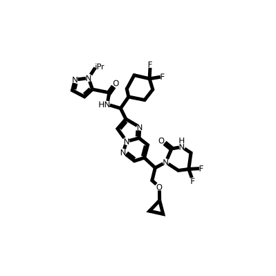 CC(C)n1nccc1C(=O)NC(c1cn2ncc(C(COC3CC3)N3CC(F)(F)CNC3=O)cc2n1)C1CCC(F)(F)CC1